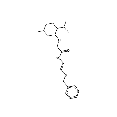 CC1CCC(C(C)C)C(OCC(=O)NC=CSCc2ccccc2)C1